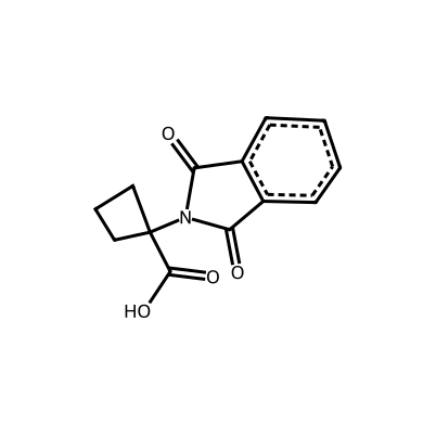 O=C1c2ccccc2C(=O)N1C1(C(=O)O)CCC1